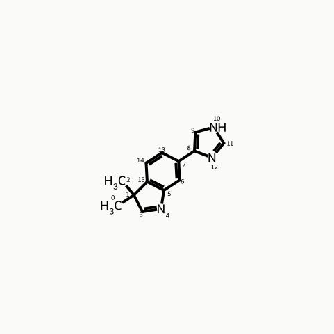 CC1(C)C=Nc2cc(-c3c[nH]cn3)ccc21